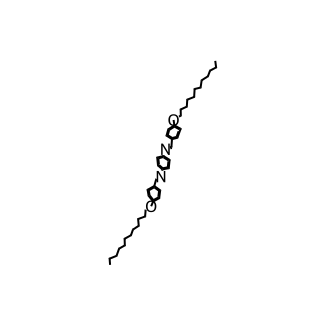 CCCCCCCCCCCCOc1ccc(C=Nc2ccc(N=Cc3ccc(OCCCCCCCCCCCC)cc3)cc2)cc1